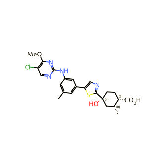 COc1nc(Nc2cc(C)cc(-c3cnc([C@@]4(O)CC[C@H](C(=O)O)[C@H](C)C4)s3)c2)ncc1Cl